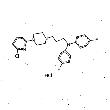 Cl.Fc1ccc(N(CCCN2CCN(c3cccc(Cl)n3)CC2)c2ccc(F)cc2)cc1